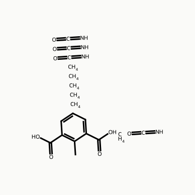 C.C.C.C.C.C.Cc1c(C(=O)O)cccc1C(=O)O.N=C=O.N=C=O.N=C=O.N=C=O